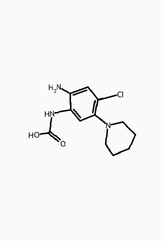 Nc1cc(Cl)c(N2CCCCC2)cc1NC(=O)O